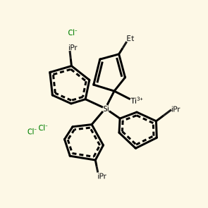 CCC1=C[C]([Ti+3])([Si](c2cccc(C(C)C)c2)(c2cccc(C(C)C)c2)c2cccc(C(C)C)c2)C=C1.[Cl-].[Cl-].[Cl-]